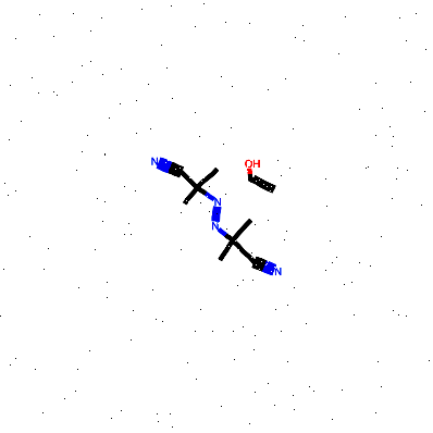 C=CO.CC(C)(C#N)N=NC(C)(C)C#N